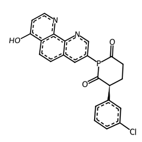 O=C1CC[C@@H](c2cccc(Cl)c2)C(=O)P1c1cnc2c(ccc3c(O)ccnc32)c1